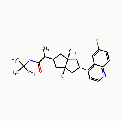 CC(C(=O)NC(C)(C)C)C1C[C@@]2(C)C[C@@H](c3ccnc4ccc(F)cc34)C[C@@]2(C)C1